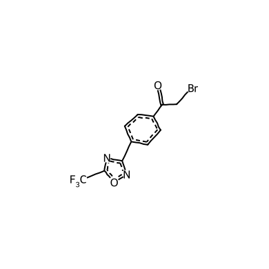 O=C(CBr)c1ccc(-c2noc(C(F)(F)F)n2)cc1